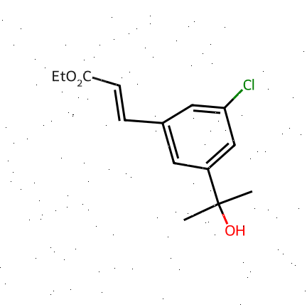 CCOC(=O)C=Cc1cc(Cl)cc(C(C)(C)O)c1